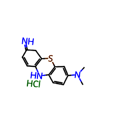 CN(C)c1ccc2c(c1)SC1=C(C=CC(=N)C1)N2.Cl